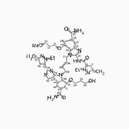 CCn1nc(C)cc1C(=O)Nc1nc2cc(C(N)=O)cc(OCCCOC)c2n1CC=CCn1c2nc(-c3cc(C)nn3CC)ncc2c2cc(C(N)=O)cc(OCCCO)c21